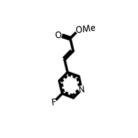 COC(=O)C=Cc1cncc(F)c1